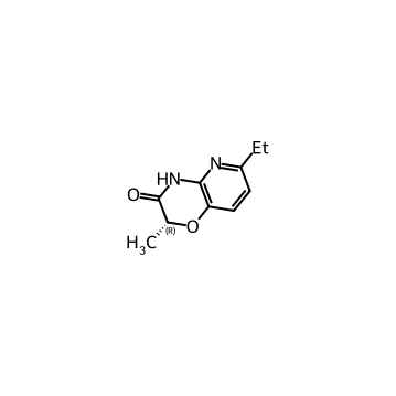 CCc1ccc2c(n1)NC(=O)[C@@H](C)O2